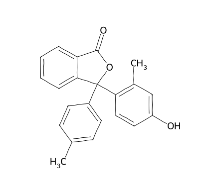 Cc1ccc(C2(c3ccc(O)cc3C)OC(=O)c3ccccc32)cc1